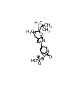 CN(Cc1cn(C2=CC3CN(C2)C(=O)N3OS(=O)(=O)O)nn1)C(=O)OC(C)(C)C